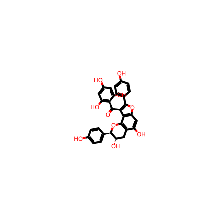 O=C(c1c(O)cc(O)cc1O)c1c(-c2ccc(O)cc2)oc2cc(O)c3c(c12)O[C@H](c1ccc(O)cc1)[C@@H](O)C3